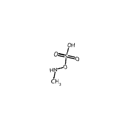 CNOS(=O)(=O)O